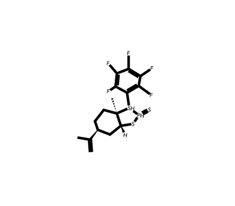 C=C(C)[C@H]1CC[C@]2(C)[C@@H](C1)S[PH](=S)[SH]2c1c(F)c(F)c(F)c(F)c1F